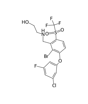 O=S(=O)(c1ccc(Oc2cc(F)cc(Cl)c2)c(Br)c1CNCCO)C(F)(F)F